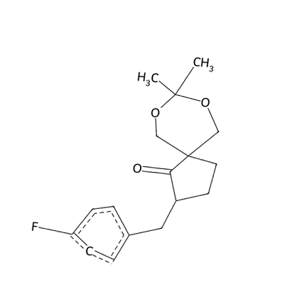 CC1(C)OCC2(CCC(Cc3ccc(F)cc3)C2=O)CO1